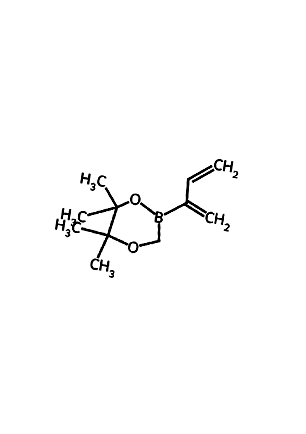 C=CC(=C)B1COC(C)(C)C(C)(C)O1